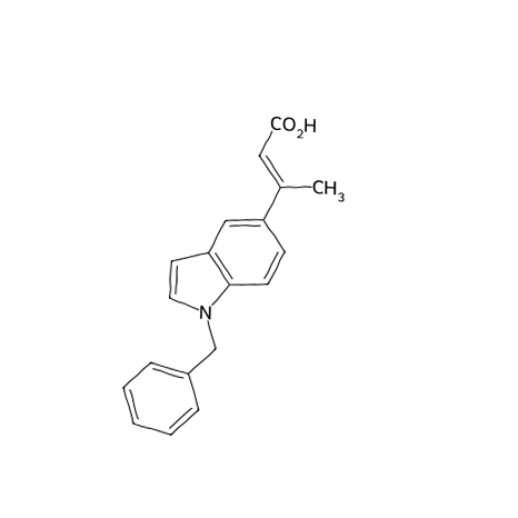 CC(=CC(=O)O)c1ccc2c(ccn2Cc2ccccc2)c1